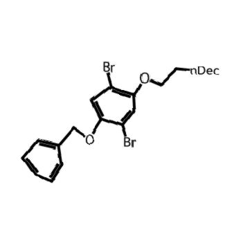 CCCCCCCCCCCCOc1cc(Br)c(OCc2ccccc2)cc1Br